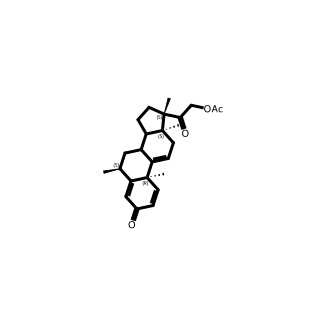 CC(=O)OCC(=O)[C@@]1(C)CCC2C3C[C@H](C)C4=CC(=O)C=C[C@]4(C)C3=CC[C@@]21C